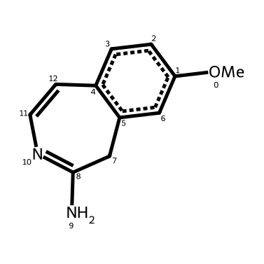 COc1ccc2c(c1)CC(N)=NC=C2